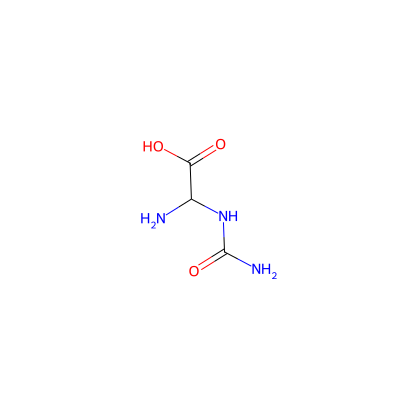 NC(=O)NC(N)C(=O)O